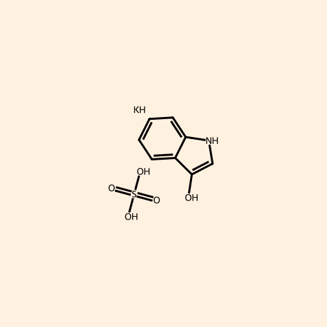 O=S(=O)(O)O.Oc1c[nH]c2ccccc12.[KH]